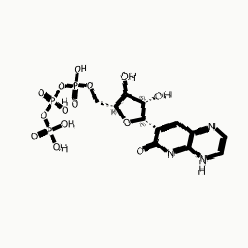 O=c1nc2[nH]ccnc-2cc1[C@@H]1O[C@H](COP(=O)(O)OP(=O)(O)OP(=O)(O)O)C(O)[C@@H]1O